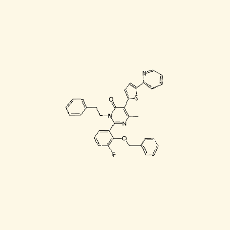 Cc1nc(-c2cccc(F)c2OCc2ccccc2)n(CCc2ccccc2)c(=O)c1-c1ccc(-c2ccccn2)s1